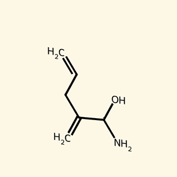 C=CCC(=C)[C](N)O